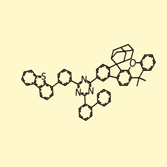 CC1(C)c2ccccc2Oc2c1ccc1c2C2(c3ccc(-c4nc(-c5cccc(-c6cccc7c6sc6ccccc67)c5)nc(-c5ccccc5-c5ccccc5)n4)cc3-1)C1CC3CC(C1)CC2C3